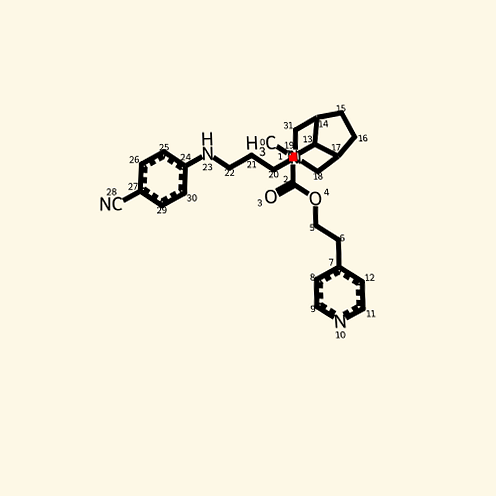 CN(C(=O)OCCc1ccncc1)C1C2CCC1CN(CCCNc1ccc(C#N)cc1)C2